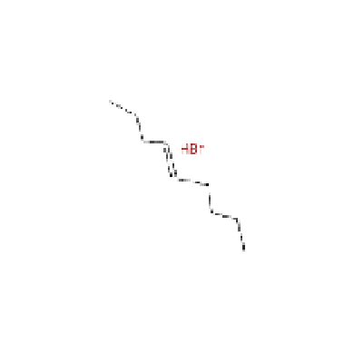 Br.CCCC=CCCCC